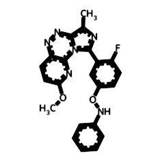 COc1ccc2nnc3c(C)nc(-c4cc(ONc5ccccc5)ccc4F)n3c2n1